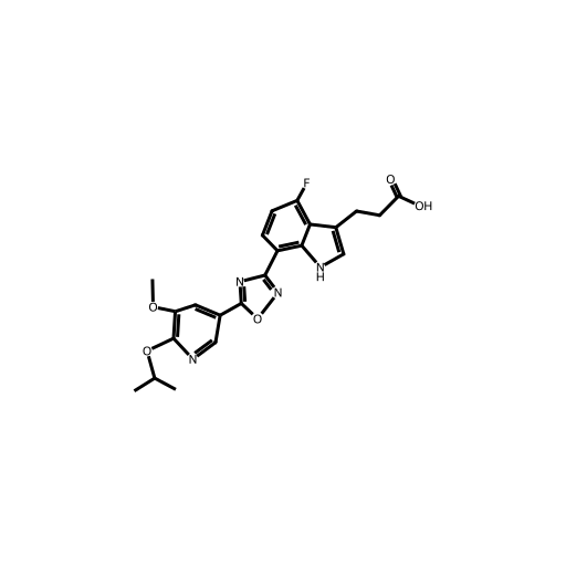 COc1cc(-c2nc(-c3ccc(F)c4c(CCC(=O)O)c[nH]c34)no2)cnc1OC(C)C